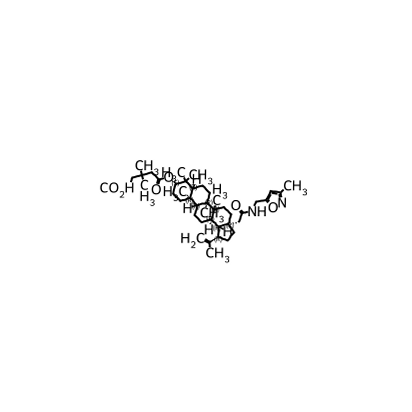 C=C(C)[C@@H]1CC[C@]2(CC(=O)NCc3cc(C)no3)CC[C@]3(C)[C@H](CC[C@@H]4[C@@]5(C)CC[C@H](OC(=O)CC(C)(C)CC(=O)O)C(C)(C)[C@@H]5CC[C@]43C)[C@@H]12